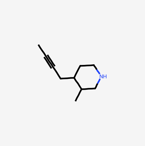 CC#CCC1CCNCC1C